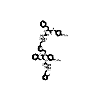 COc1ccc(N(C)C(=O)C(Cc2ccccc2)NC(=O)NS(=O)(=O)NCc2cccc(CN(C(=O)[C@H](Cc3ccccc3)NC(=O)NS(=O)(=O)NCc3ccccc3F)c3ccc(OC)cc3)n2)cc1